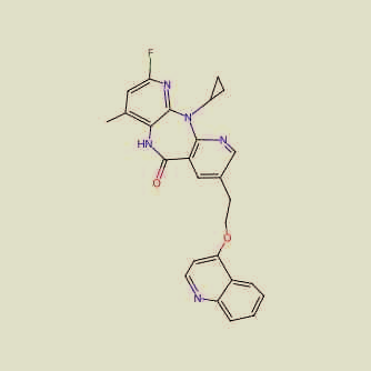 Cc1cc(F)nc2c1NC(=O)c1cc(CCOc3ccnc4ccccc34)cnc1N2C1CC1